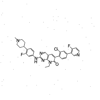 CCn1c(=O)c(-c2ccc(-c3cnccc3F)cc2Cl)cc2cnc(Nc3ccc(C4CCN(C)CC4)c(F)c3)nc21